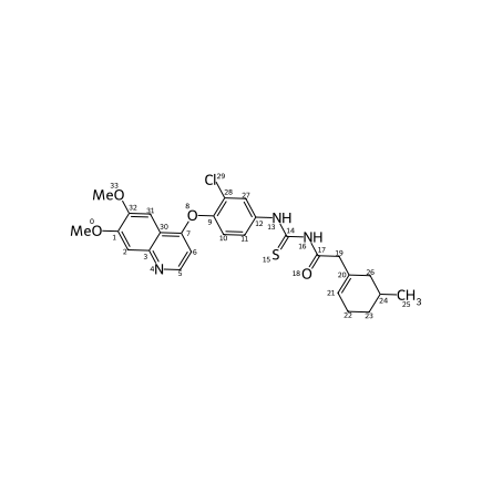 COc1cc2nccc(Oc3ccc(NC(=S)NC(=O)CC4=CCCC(C)C4)cc3Cl)c2cc1OC